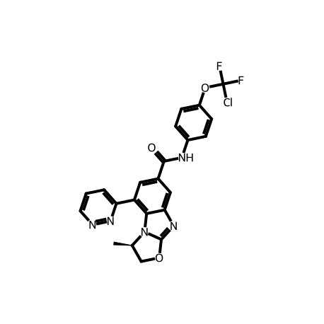 C[C@@H]1COc2nc3cc(C(=O)Nc4ccc(OC(F)(F)Cl)cc4)cc(-c4cccnn4)c3n21